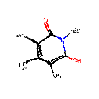 CCCCn1c(O)c(C)c(C)c(C#N)c1=O